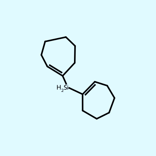 C1=C([SiH2]C2=CCCCCC2)CCCCC1